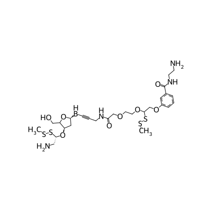 CSSC(COc1cccc(C(=O)NCCN)c1)OCCOCC(=O)NCC#CB[C@H]1C[C@@H](O[C@H](CN)SSC)C(CO)O1